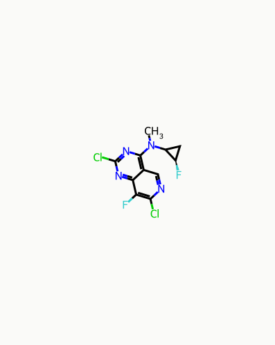 CN(c1nc(Cl)nc2c(F)c(Cl)ncc12)C1C[C@H]1F